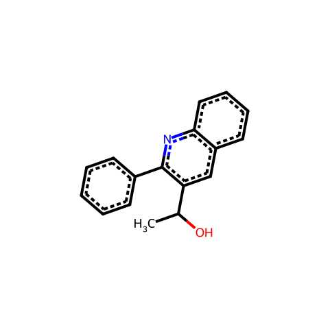 CC(O)c1cc2ccccc2nc1-c1ccccc1